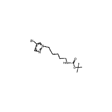 CC(C)(C)OC(=O)NCCCCCn1cc(Br)cn1